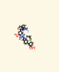 COc1cc(C(=O)N2C[C@H]3CC[C@@H]2[C@@H]3N)cc2nc(-c3cc4ccc(-c5cc(O)ccc5F)cc4n3CC3CC3)n(C)c12